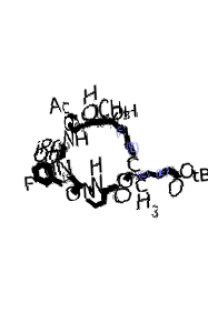 CC(=O)CC[C@H]1C(=O)N[C@@H](C(C)C)C(=O)N[C@@H](Cc2cc(O)cc(F)c2)C(=O)N2CCCC(N2)C(=O)O[C@H](/C(C)=C/C=C/C(=O)OC(C)(C)C)C/C=C/C=C/[C@H](O)[C@H](C)[C@H]1O